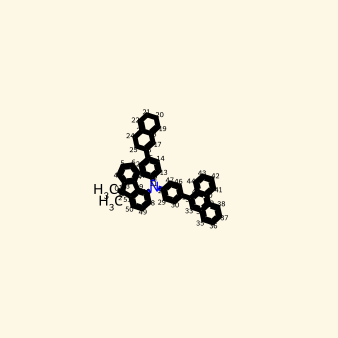 CC1(C)c2ccccc2-c2c(N(c3ccc(C4=CC5=CCCC=C5CC4)cc3)c3ccc(-c4cc5ccccc5c5ccccc45)cc3)cccc21